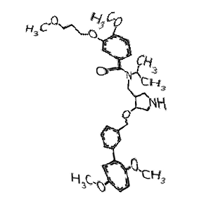 COCCCOc1cc(C(=O)N(CC2CNCC2OCc2cccc(-c3cc(OC)ccc3OC)c2)C(C)C)ccc1OC